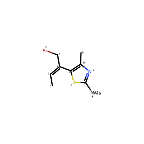 C/C=C(/CBr)c1sc(NC)nc1C